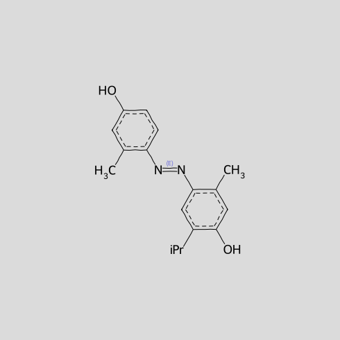 Cc1cc(O)ccc1/N=N/c1cc(C(C)C)c(O)cc1C